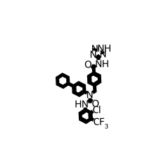 O=C(Nc1nn[nH]n1)c1ccc(CN(C(=O)Nc2cccc(C(F)(F)F)c2Cl)c2ccc(C3CCCCC3)cc2)cc1